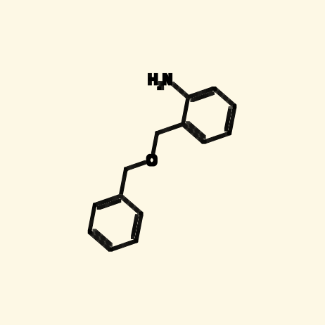 Nc1ccccc1COCc1ccccc1